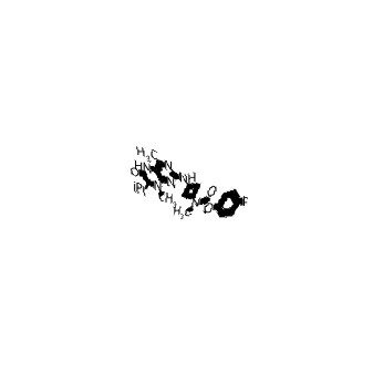 Cc1nc(N[C@H]2C[C@H](N(C)C(=O)Oc3ccc(F)cc3)C2)nc2c1NC(=O)[C@H](C(C)C)N2C